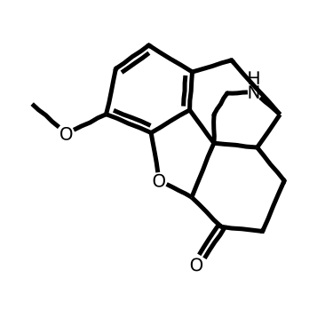 COc1ccc2c3c1OC1C(=O)CCC4C(C2)NCCC314